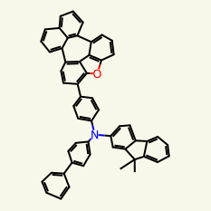 CC1(C)c2ccccc2-c2ccc(N(c3ccc(-c4ccccc4)cc3)c3ccc(-c4ccc5c6c4oc4cccc(c46)-c4cccc6cccc-5c46)cc3)cc21